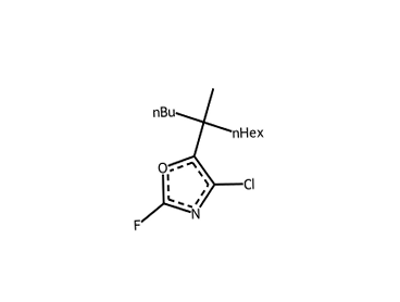 CCCCCCC(C)(CCCC)c1oc(F)nc1Cl